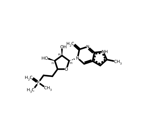 C=C1N=c2[nH]c(C)cc2=CN1[C@@H]1OC(CCP(=C)(C)C)[C@@H](O)[C@H]1O